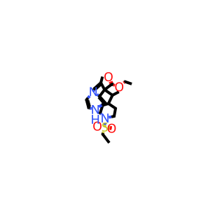 CCOC(=O)C1(C(C)C2CCN(S(=O)(=O)CC)CC2)C(C)=CN2C=CNC=C21